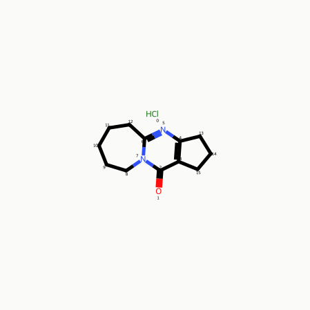 Cl.O=c1c2c(nc3n1CCCCC3)CCC2